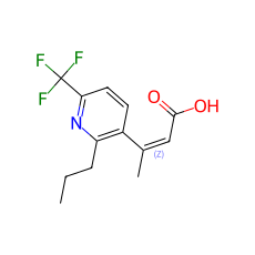 CCCc1nc(C(F)(F)F)ccc1/C(C)=C\C(=O)O